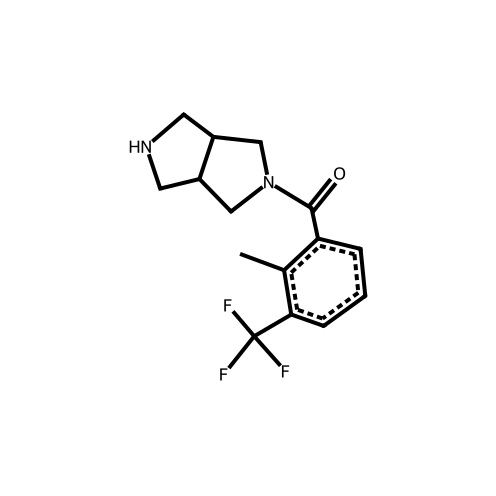 Cc1c(C(=O)N2CC3CNCC3C2)cccc1C(F)(F)F